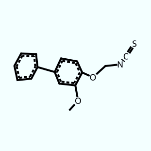 COc1cc(-c2ccccc2)ccc1OCN=C=S